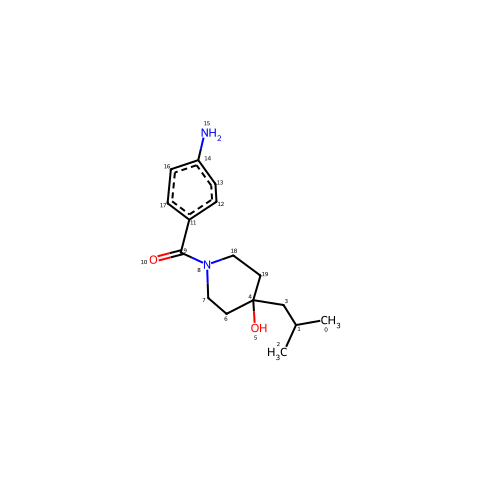 CC(C)CC1(O)CCN(C(=O)c2ccc(N)cc2)CC1